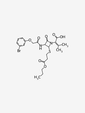 CCCOC(=O)CCSC1C(NC(=O)COc2cccc(Br)c2)C(=O)N1C(C(=O)O)=C(C)C